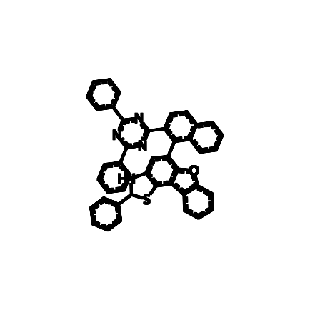 c1ccc(-c2nc(-c3ccccc3)nc(-c3ccc4ccccc4c3-c3cc4c(c5c3oc3ccccc35)SC(c3ccccc3)N4)n2)cc1